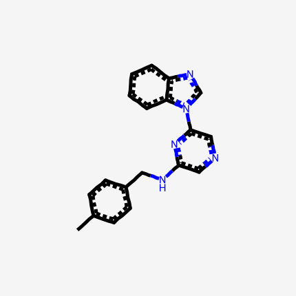 Cc1ccc(CNc2cncc(-n3cnc4ccccc43)n2)cc1